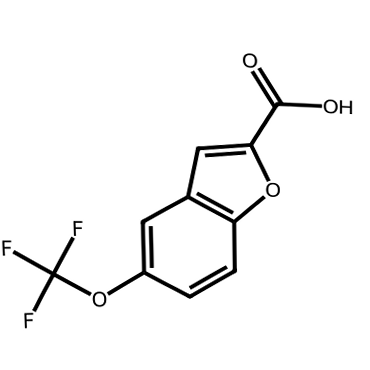 O=C(O)c1cc2cc(OC(F)(F)F)ccc2o1